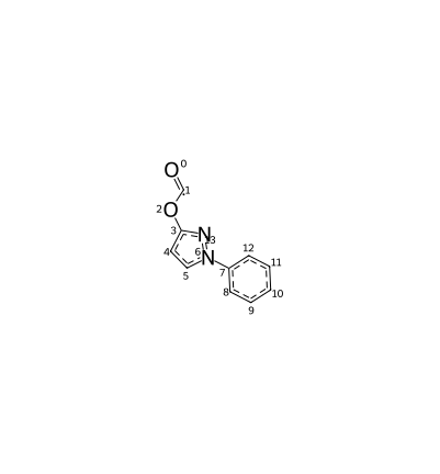 O=[C]Oc1ccn(-c2ccccc2)n1